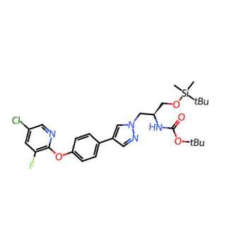 CC(C)(C)OC(=O)N[C@H](CO[Si](C)(C)C(C)(C)C)Cn1cc(-c2ccc(Oc3ncc(Cl)cc3F)cc2)cn1